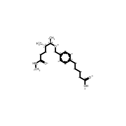 CNC(=O)CC[C@H](C)[C@@H](C)OCc1ccc(CCCCC(=O)O)cc1